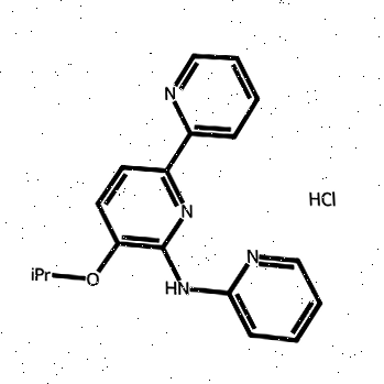 CC(C)Oc1ccc(-c2ccccn2)nc1Nc1ccccn1.Cl